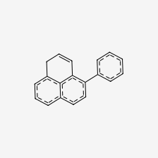 C1=Cc2c(-c3ccccc3)ccc3cccc(c23)C1